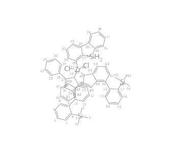 C[Si](C)(C)c1ccccc1-c1cccc2c1C=C(c1ccccc1)[CH]2[Zr]([Cl])([Cl])([c]1cccc2c1[SiH2]c1ccccc1-2)[CH]1C(c2ccccc2)=Cc2c(-c3ccccc3[Si](C)(C)C)cccc21